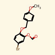 COc1ccc(COc2ccc(Br)cc2OC=O)cc1